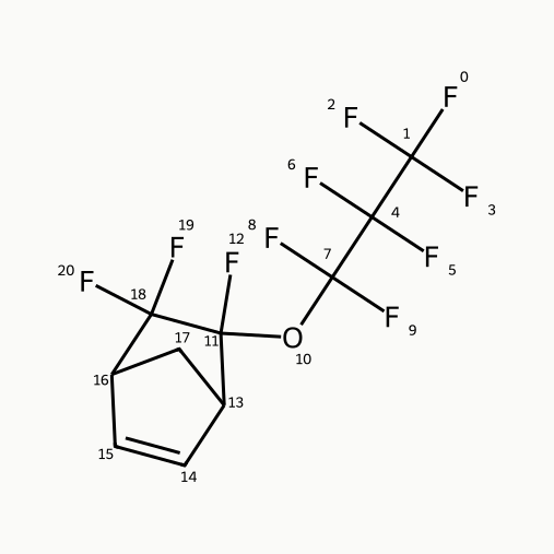 FC(F)(F)C(F)(F)C(F)(F)OC1(F)C2C=CC(C2)C1(F)F